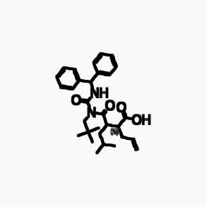 C=CC[C@H](C(=O)O)C(CC(C)C)C(=O)N(CC(C)(C)C)C(=O)NC(c1ccccc1)c1ccccc1